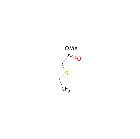 COC(=O)CSCC(F)(F)F